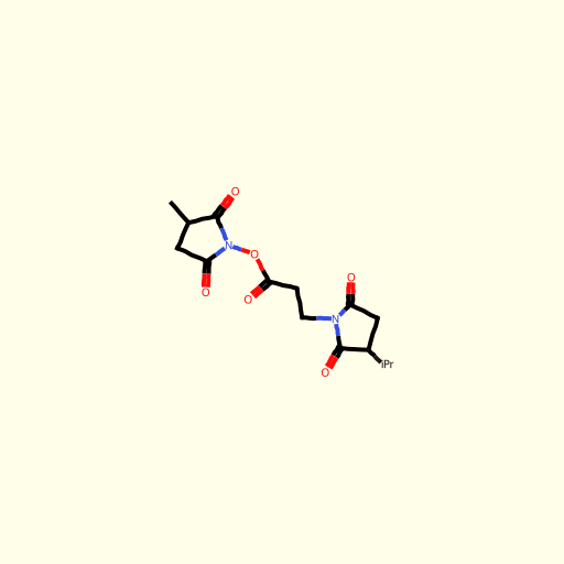 CC1CC(=O)N(OC(=O)CCN2C(=O)CC(C(C)C)C2=O)C1=O